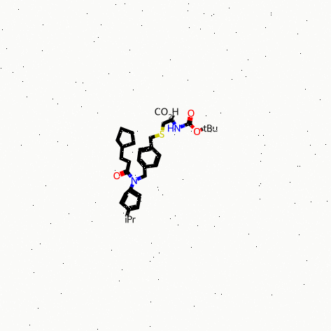 CC(C)c1ccc(N(Cc2ccc(CSC[C@H](NC(=O)OC(C)(C)C)C(=O)O)cc2)C(=O)CCC2CCCC2)cc1